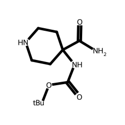 CC(C)(C)OC(=O)NC1(C(N)=O)CCNCC1